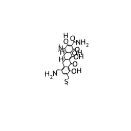 CSCc1cc(CN)c2c(c1O)C(=O)C1=C(O)[C@]3(O)C(=O)C(C(N)=O)=C(O)C(N(C)C)[C@@H]3C[C@@H]1C2